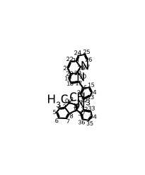 CC1(C)c2ccccc2-c2c1n(-c1cccc(-c3ccc4ccc5cccnc5c4n3)c1)c1ccccc21